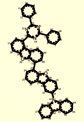 c1ccc(-c2nc(-c3ccccc3)nc(-c3cccc4oc5c(-c6cccc7c6oc6ccc(-n8c9ccccc9c9ccccc98)cc67)cccc5c34)n2)cc1